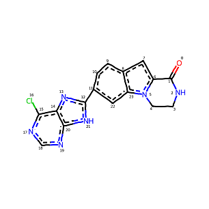 O=C1NCCn2c1cc1ccc(-c3nc4c(Cl)ncnc4[nH]3)cc12